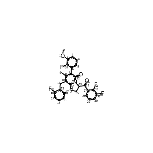 COc1cccc(-c2c(C)c(Cc3c(F)cccc3F)c3n(c2=O)C(C(=O)c2cccc(F)c2F)CS3)c1F